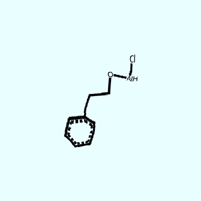 [Cl][AlH][O]CCc1ccccc1